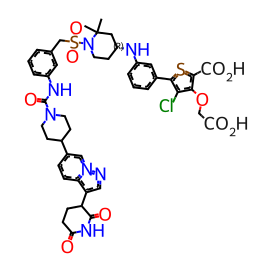 CC1(C)C[C@H](Nc2cccc(-c3sc(C(=O)O)c(OCC(=O)O)c3Cl)c2)CCN1S(=O)(=O)Cc1cccc(NC(=O)N2CCC(c3ccc4c(C5CCC(=O)NC5=O)cnn4c3)CC2)c1